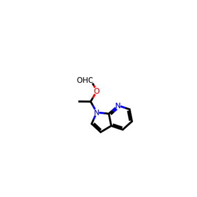 CC(OC=O)n1ccc2cccnc21